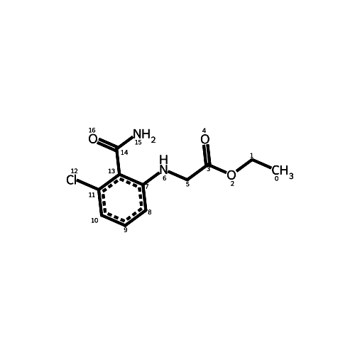 CCOC(=O)CNc1cccc(Cl)c1C(N)=O